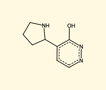 Oc1nnccc1C1CCCN1